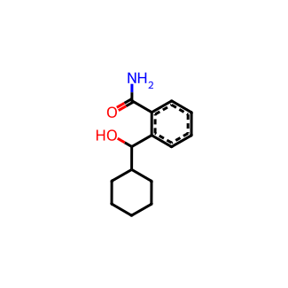 NC(=O)c1ccccc1C(O)C1CCCCC1